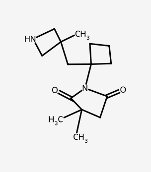 CC1(CC2(N3C(=O)CC(C)(C)C3=O)CCC2)CNC1